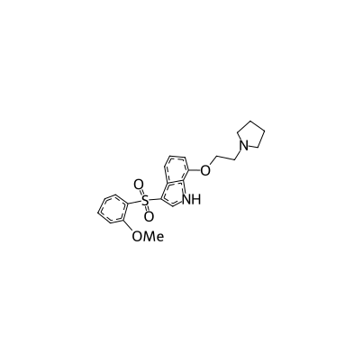 COc1ccccc1S(=O)(=O)c1c[nH]c2c(OCCN3CCCC3)cccc12